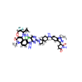 Cn1nc(C2CCC(=O)NC2=O)c2ccc(NC3CCC4(CC3)CCN(c3ncc(Cl)c(Nc5ccc6c(c5)c5c(c(=O)n6C)OCC(F)(F)C(C6CC6)N5)n3)C4)cc21